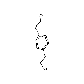 OCCc1ccc(CCS)cc1